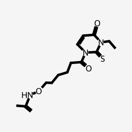 C=C(C)NOCCCCCC(=O)n1ccc(=O)n(CC)c1=S